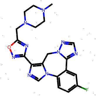 CN1CCN(Cc2nc(-c3ncn4c3Cn3ncnc3-c3cc(F)ccc3-4)no2)CC1